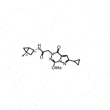 COc1nn(CC(=O)N[C@@H]2C[C@]3(C)CC23)c(=O)c2cc(C3CC3)nn12